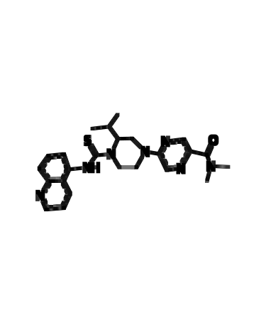 CC(C)C1CN(c2cnc(C(=O)N(C)C)cn2)CCN1C(=S)Nc1cccc2ncccc12